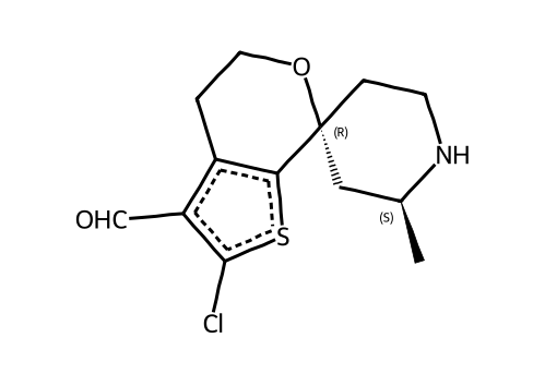 C[C@H]1C[C@@]2(CCN1)OCCc1c2sc(Cl)c1C=O